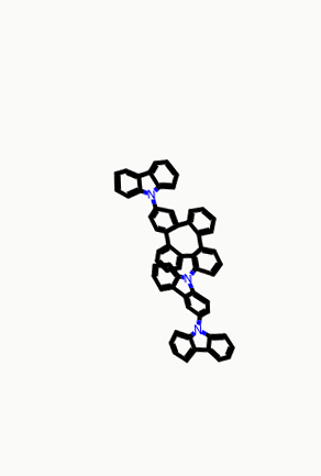 c1ccc2c(c1)-c1cc(-n3c4ccccc4c4ccccc43)ccc1-c1ccccc1-c1c-2cccc1-n1c2ccccc2c2cc(-n3c4ccccc4c4ccccc43)ccc21